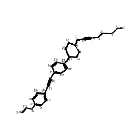 CCCCCC#CCC1CCC(c2ccc(C#Cc3ccc(CCC)cc3)cc2)CC1